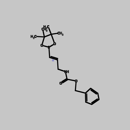 CC1(C)OB(/C=C/CNC(=O)OCc2ccccc2)OC1(C)C